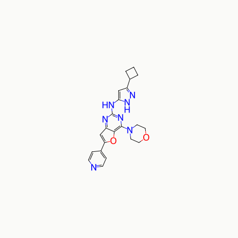 c1cc(-c2cc3nc(Nc4cc(C5CCC5)n[nH]4)nc(N4CCOCC4)c3o2)ccn1